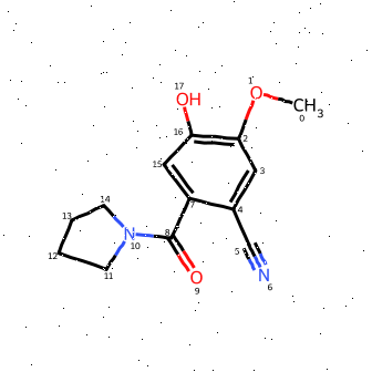 COc1cc(C#N)c(C(=O)N2CCCC2)cc1O